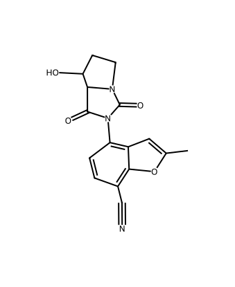 Cc1cc2c(N3C(=O)C4C(O)CCN4C3=O)ccc(C#N)c2o1